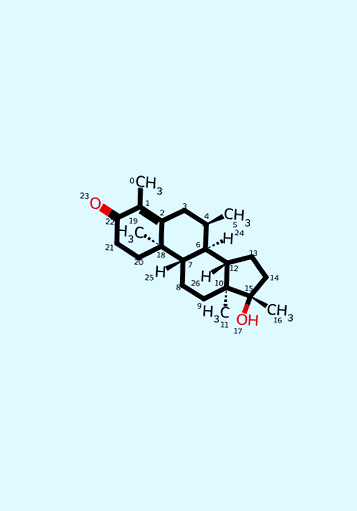 CC1=C2C[C@@H](C)[C@@H]3[C@H](CC[C@@]4(C)[C@H]3CC[C@]4(C)O)[C@@]2(C)CCC1=O